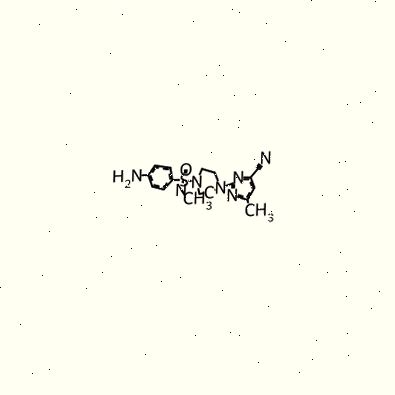 CN=S(=O)(c1ccc(N)cc1)N1CCN(c2nc(C)cc(C#N)n2)CC1